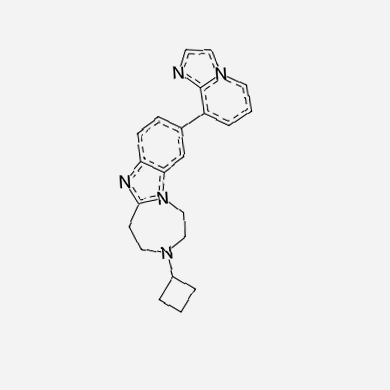 c1cc(-c2ccc3nc4n(c3c2)CCN(C2CCC2)CC4)c2nccn2c1